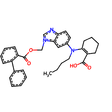 CCCCN(C1=C(C(=O)O)CCCC1)c1ccc2ncn(COC(=O)c3ccccc3-c3ccccc3)c2c1